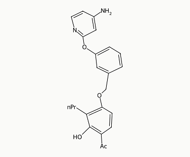 CCCc1c(OCc2cccc(Oc3cc(N)ccn3)c2)ccc(C(C)=O)c1O